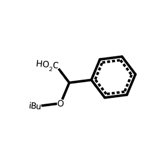 CCC(C)OC(C(=O)O)c1ccccc1